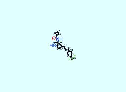 O=C(Nc1c[nH]c2ccc(/C=C/Cc3ccc(C(F)(F)F)cc3)cc12)C1CCC1